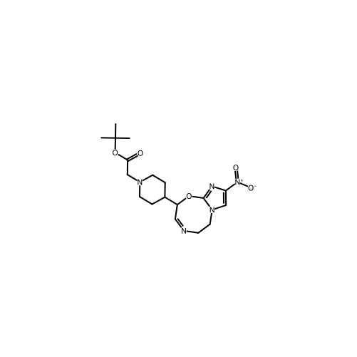 CC(C)(C)OC(=O)CN1CCC(C2C=NCCn3cc([N+](=O)[O-])nc3O2)CC1